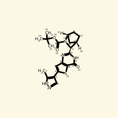 Cc1[nH]ncc1-c1cc2nc([C@@H]3[C@H]4CC[C@H](C4)N3C(=O)OC(C)(C)C)[nH]c(=O)c2s1